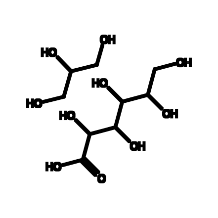 O=C(O)C(O)C(O)C(O)C(O)CO.OCC(O)CO